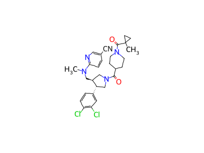 CN(C[C@H]1CN(C(=O)C2CCN(C(=O)C3(C)CC3)CC2)C[C@@H]1c1ccc(Cl)c(Cl)c1)c1ccc(C#N)cn1